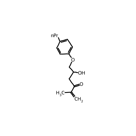 C=C(C)C(=O)CC(O)COc1ccc(CCC)cc1